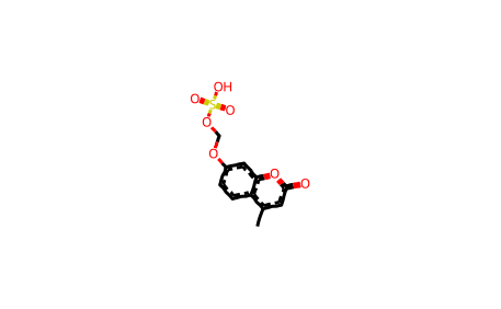 Cc1cc(=O)oc2cc(OCOS(=O)(=O)O)ccc12